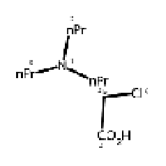 CCCN(CCC)CCC.O=C(O)CCl